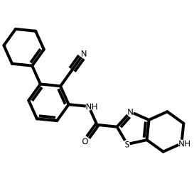 N#Cc1c(NC(=O)c2nc3c(s2)CNCC3)cccc1C1=CCCCC1